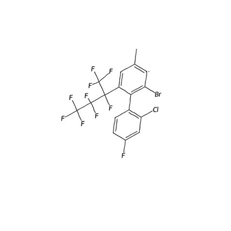 Cc1[c]c(Br)c(-c2ccc(F)cc2Cl)c(C(F)(C(F)(F)F)C(F)(F)C(F)(F)F)c1